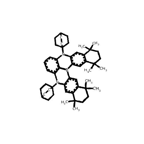 CC1(C)CCC(C)(C)c2cc3c(cc21)B1c2cc4c(cc2N(C25CCC(CC2)CC5)c2cccc(c21)N3C12CCC(CC1)CC2)C(C)(C)CCC4(C)C